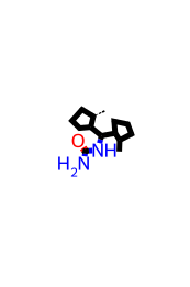 CC1CCCC1C(NC(N)=O)C1CCC[C@@H]1C